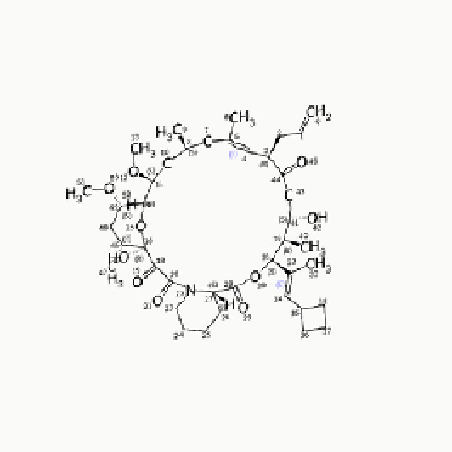 C=CC[C@@H]1/C=C(\C)C[C@H](C)C[C@H](OC)[C@H]2O[C@@](O)(C(=O)C(=O)N3CCCC[C@H]3C(=O)O[C@H](/C(C)=C/C3CCC3)[C@H](C)[C@@H](O)CC1=O)[C@H](C)C[C@@H]2OC